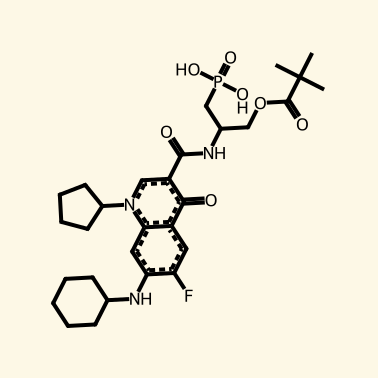 CC(C)(C)C(=O)OCC(CP(=O)(O)O)NC(=O)c1cn(C2CCCC2)c2cc(NC3CCCCC3)c(F)cc2c1=O